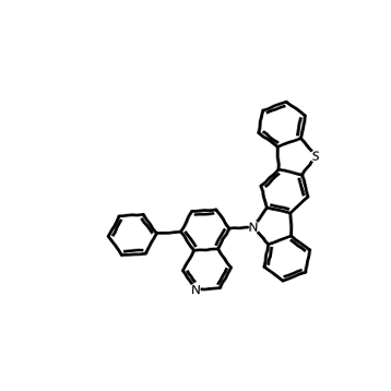 c1ccc(-c2ccc(-n3c4ccccc4c4cc5sc6ccccc6c5cc43)c3ccncc23)cc1